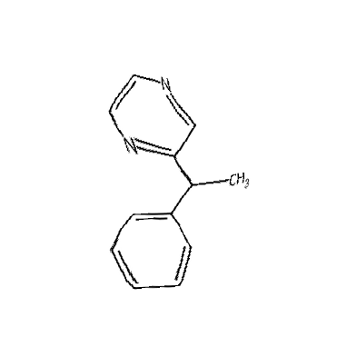 CC(c1ccccc1)c1cnccn1